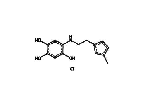 Cn1cc[n+](CCNc2cc(O)c(O)cc2O)c1.[Cl-]